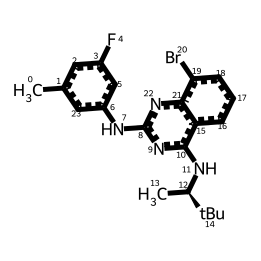 Cc1cc(F)cc(Nc2nc(N[C@H](C)C(C)(C)C)c3cccc(Br)c3n2)c1